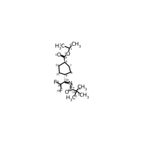 CC(C)OC(=O)[C@H]1CC[C@H](/C(=N/[S@@+]([O-])C(C)(C)C)C(F)F)CC1